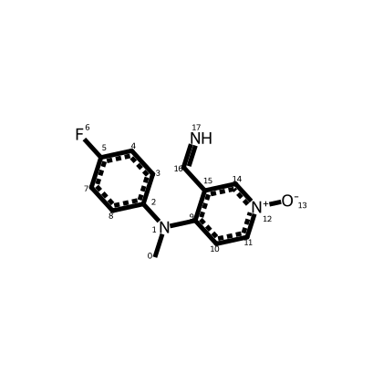 CN(c1ccc(F)cc1)c1cc[n+]([O-])cc1C=N